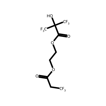 O=C(CC(F)(F)F)OCCOC(=O)C(O)(C(F)(F)F)C(F)(F)F